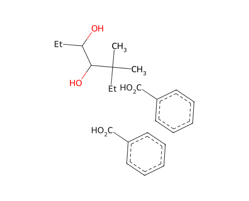 CCC(O)C(O)C(C)(C)CC.O=C(O)c1ccccc1.O=C(O)c1ccccc1